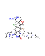 CCN1CCN(C[C@H]2CSc3c(-c4coc5cnc(N)cc45)c(Cl)cc4c(N5CC6CCC(C5)N6)nc(=O)n2c34)CC1